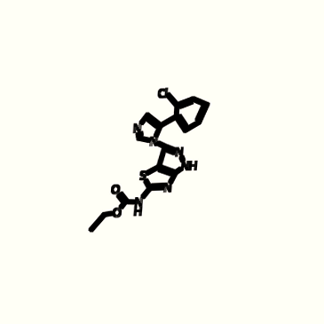 CCOC(=O)Nc1nc2[nH]nc(-n3cncc3-c3ccccc3Cl)c2s1